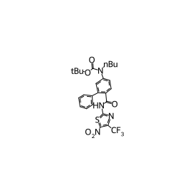 CCCCN(C(=O)OC(C)(C)C)c1ccc(C(=O)Nc2nc(C(F)(F)F)c([N+](=O)[O-])s2)c(-c2ccccc2)c1